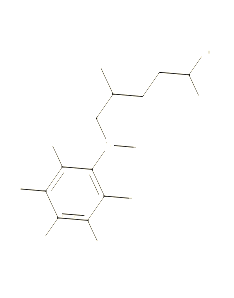 CCCC(CC)CCC(C)CN(CCC)c1c(F)c(F)c(F)c(F)c1F